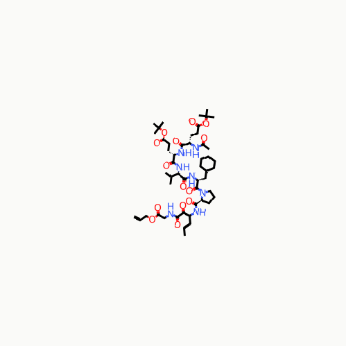 C=CCOC(=O)CNC(=O)C(=O)C(CCC)NC(=O)[C@@H]1CCCN1C(=O)[C@H](CC1CCCCC1)NC(=O)[C@@H](NC(=O)[C@H](CCC(=O)OC(C)(C)C)NC(=O)[C@H](CCC(=O)OC(C)(C)C)NC(C)=O)C(C)C